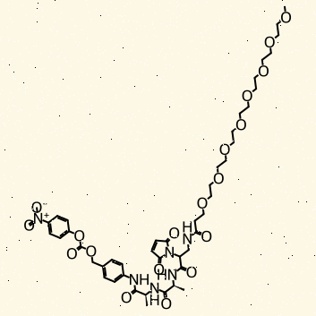 COCCOCCOCCOCCOCCOCCOCCOCCC(=O)NCC(C(=O)N[C@@H](C)C(=O)N[C@@H](C)C(=O)Nc1ccc(COC(=O)Oc2ccc([N+](=O)[O-])cc2)cc1)N1C(=O)C=CC1=O